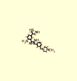 CN1CCN(Cc2cccc(/C=C(\N)C(=N)c3cc(/C(C=N)=C/S)ccc3N)c2)CC1